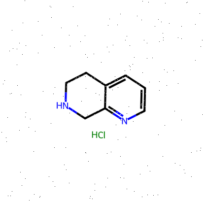 Cl.c1cnc2c(c1)CCNC2